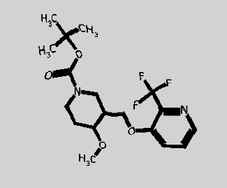 COC1CCN(C(=O)OC(C)(C)C)CC1COc1cccnc1C(F)(F)F